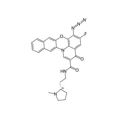 CN1CCC[C@H]1CCNC(=O)c1cn2c3c(c(N=[N+]=[N-])c(F)cc3c1=O)Oc1cc3ccccc3cc1-2